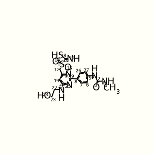 CNC(=O)Nc1ccc(-c2nc(CS(=O)(=O)C(=N)S)cc(NCCO)n2)cc1